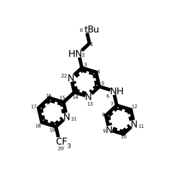 CC(C)(C)CNc1cc(Nc2cncnc2)nc(-c2cccc(C(F)(F)F)n2)n1